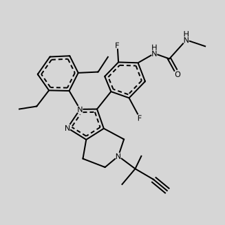 C#CC(C)(C)N1CCc2nn(-c3c(CC)cccc3CC)c(-c3cc(F)c(NC(=O)NC)cc3F)c2C1